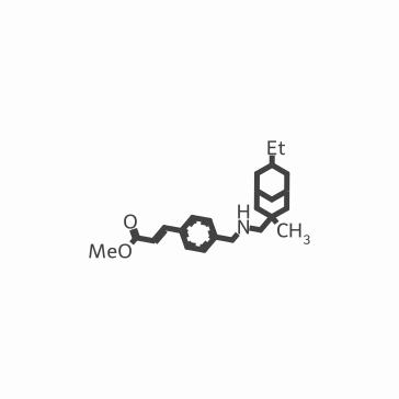 CCC1CC2CC(C1)CC(C)(CNCc1ccc(/C=C/C(=O)OC)cc1)C2